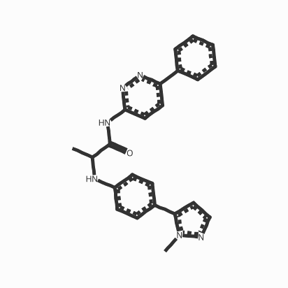 CC(Nc1ccc(-c2ccnn2C)cc1)C(=O)Nc1ccc(-c2ccccc2)nn1